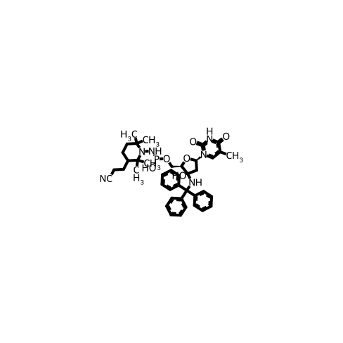 Cc1cn([C@H]2C[C@@](O)(NC(c3ccccc3)(c3ccccc3)c3ccccc3)[C@@H](COP(O)NN3C(C)(C)CCC(CCC#N)C3(C)C)O2)c(=O)[nH]c1=O